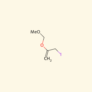 C=C(CI)OCOC